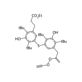 C#COOC(=C)Cc1cc(Sc2cc(CCC(=O)OCC)c(C(C)(C)C)c(O)c2C(C)(C)C)c(C(C)(C)C)c(O)c1C(C)(C)C